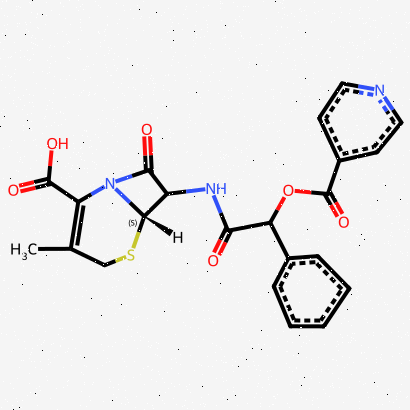 CC1=C(C(=O)O)N2C(=O)C(NC(=O)C(OC(=O)c3ccncc3)c3ccccc3)[C@@H]2SC1